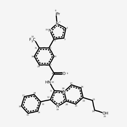 CC(C)n1ccc(-c2cc(C(=O)Nc3c(-c4ccccc4)nc4cc(CCO)ccn34)ccc2C(F)(F)F)n1